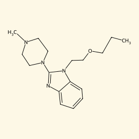 CCCOCCn1c(N2CCN(C)CC2)nc2ccccc21